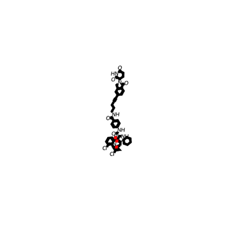 O=C1CCC(N2Cc3cc(C#CCCCNC(=O)c4ccc(NC(=O)[C@@H]5NC6(CCCCC6)[C@]67C(=O)Nc8cc(Cl)c(cc86)-c6c(Cl)cccc6[C@@H]57)cc4)ccc3C2=O)C(=O)N1